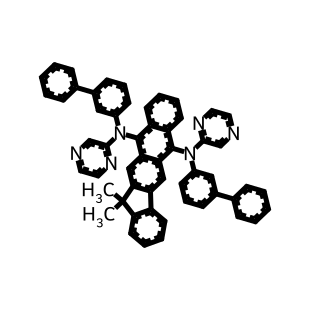 CC1(C)c2ccccc2-c2cc3c(N(c4cccc(-c5ccccc5)c4)c4cnccn4)c4ccccc4c(N(c4cccc(-c5ccccc5)c4)c4cnccn4)c3cc21